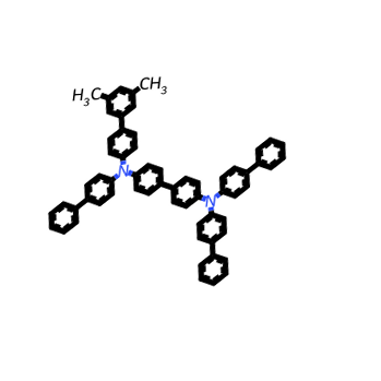 Cc1cc(C)cc(-c2ccc(N(c3ccc(-c4ccccc4)cc3)c3ccc(-c4ccc(N(c5ccc(-c6ccccc6)cc5)c5ccc(-c6ccccc6)cc5)cc4)cc3)cc2)c1